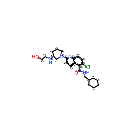 O=C(NCC1CCCCC1)c1c(Cl)ccc2nc(N3CCC[C@H](NCCO)C3)ccc12